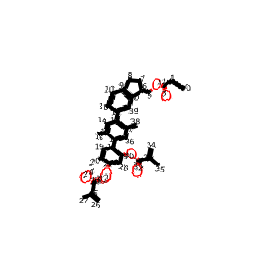 C=CC(=O)OCC1CCc2ccc(-c3cc(C)c(-c4ccc(OC(=O)C(=C)C)cc4OC(=O)C(=C)C)cc3C)cc21